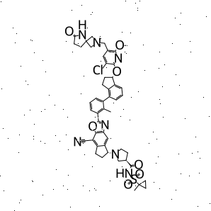 COc1nc(O[C@H]2CCc3c(-c4cccc(-c5nc6cc7c(c(C#N)c6o5)CC[C@H]7N5CC[C@@H](C(=O)NS(=O)(=O)C6(C)CC6)C5)c4C)cccc32)c(Cl)cc1CN1CC2(CCC(=O)N2)C1